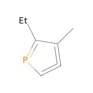 CCC1=PC=C=C1C